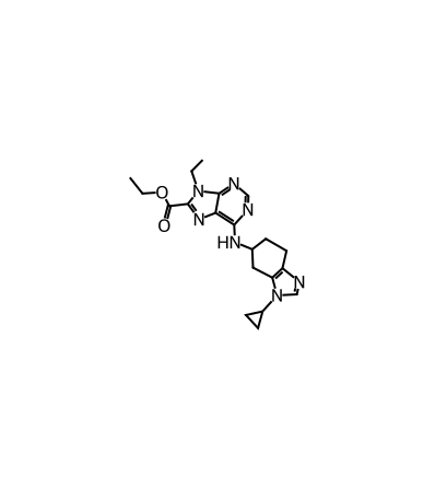 CCOC(=O)c1nc2c(NC3CCc4ncn(C5CC5)c4C3)ncnc2n1CC